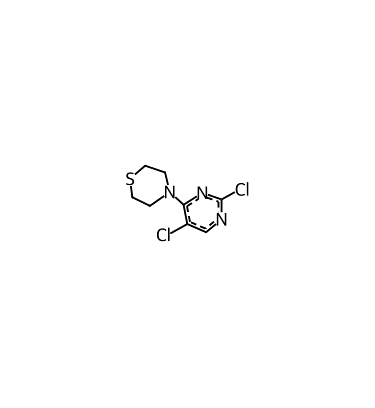 Clc1ncc(Cl)c(N2CCSCC2)n1